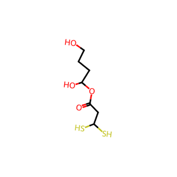 O=C(CC(S)S)OC(O)CCCO